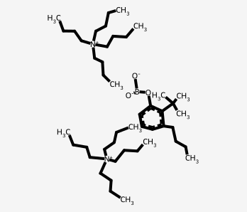 CCCC[N+](CCCC)(CCCC)CCCC.CCCC[N+](CCCC)(CCCC)CCCC.CCCCc1cccc(OB([O-])[O-])c1C(C)(C)C